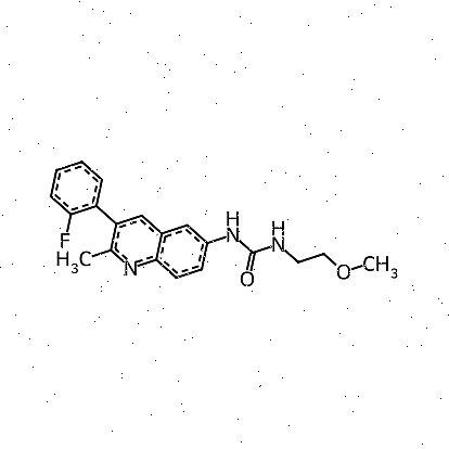 COCCNC(=O)Nc1ccc2nc(C)c(-c3ccccc3F)cc2c1